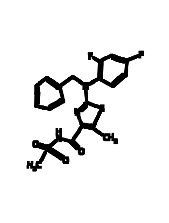 Cc1sc(N(Cc2ccccc2)c2ccc(F)cc2F)nc1C(=O)NS(C)(=O)=O